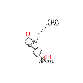 CCCCC[C@H](O)c1ccc([C@H]2CCC(=O)[C@H]2CCCCCCC=O)cc1